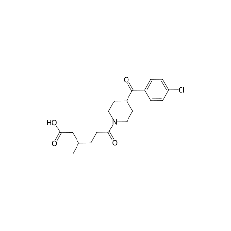 CC(CCC(=O)N1CCC(C(=O)c2ccc(Cl)cc2)CC1)CC(=O)O